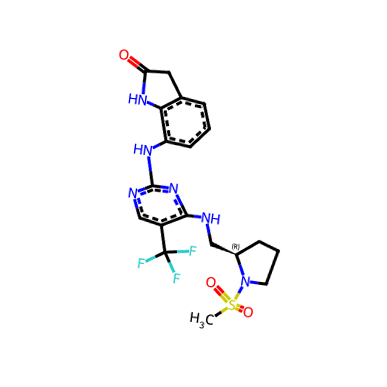 CS(=O)(=O)N1CCC[C@@H]1CNc1nc(Nc2cccc3c2NC(=O)C3)ncc1C(F)(F)F